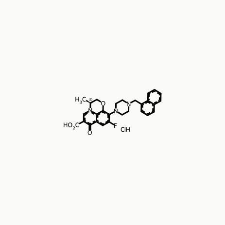 C[C@H]1COc2c(N3CCN(Cc4cccc5ccccc45)CC3)c(F)cc3c(=O)c(C(=O)O)cn1c23.Cl